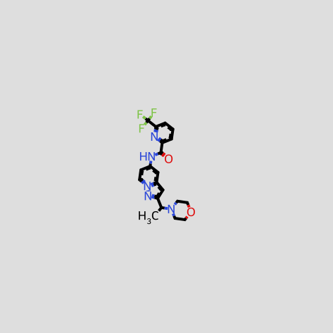 CC(c1cc2cc(NC(=O)c3cccc(C(F)(F)F)n3)ccn2n1)N1CCOCC1